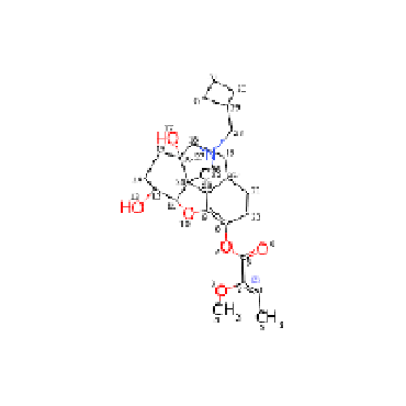 C/C=C(\OC)C(=O)OC1=C2OC3C(O)CCC4(O)C5CC(C=C1)C2C34CCN5CC1CCC1